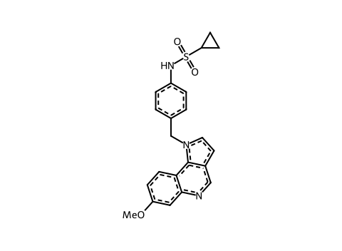 COc1ccc2c(c1)ncc1ccn(Cc3ccc(NS(=O)(=O)C4CC4)cc3)c12